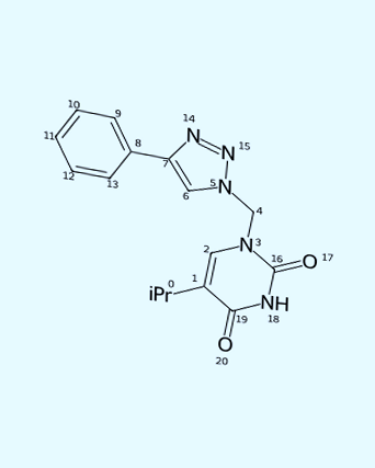 CC(C)c1cn(Cn2cc(-c3ccccc3)nn2)c(=O)[nH]c1=O